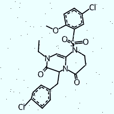 CCN1C=C2N(C(=O)CCN2S(=O)(=O)c2cc(Cl)ccc2OC)C(Cc2ccc(Cl)cc2)C1=O